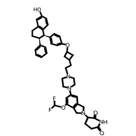 O=C1CCC(N2Cc3cc(N4CCN(CCC5CC(Oc6ccc([C@@H]7c8ccc(O)cc8CC[C@@H]7c7ccccc7)cc6)C5)CC4)cc(OC(F)F)c3C2)C(=O)N1